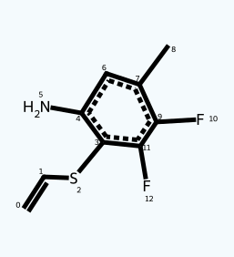 C=CSc1c(N)cc(C)c(F)c1F